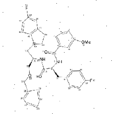 COc1cccc(C(=O)N[C@@H](Cc2ccc(F)cc2)C(=O)N[C@@H](COCc2ccccc2)CN2CCc3cc(F)ccc32)c1